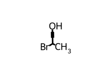 CC(Br)C#CO